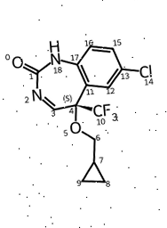 O=C1N=C[C@](OCC2CC2)(C(F)(F)F)c2cc(Cl)ccc2N1